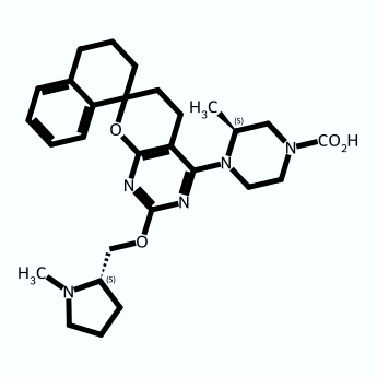 C[C@H]1CN(C(=O)O)CCN1c1nc(OC[C@@H]2CCCN2C)nc2c1CCC1(CCCc3ccccc31)O2